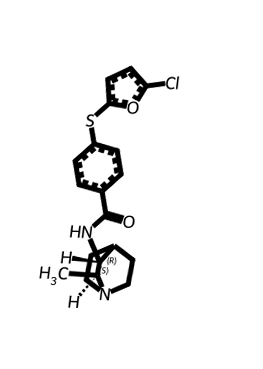 C[C@H]1[C@H](NC(=O)c2ccc(Sc3ccc(Cl)o3)cc2)C2CCN1CC2